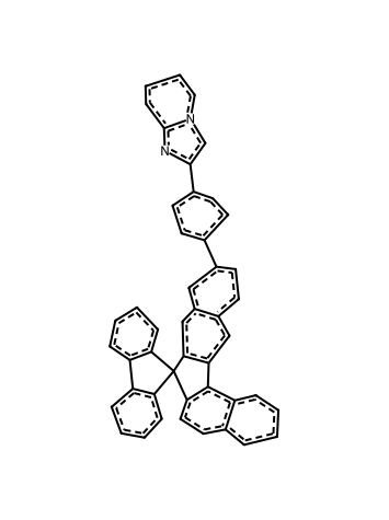 c1ccc2c(c1)-c1ccccc1C21c2cc3cc(-c4ccc(-c5cn6ccccc6n5)cc4)ccc3cc2-c2c1ccc1ccccc21